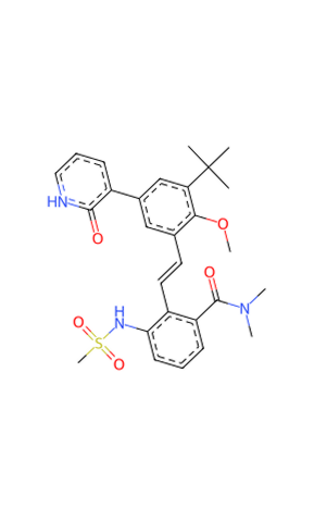 COc1c(C=Cc2c(NS(C)(=O)=O)cccc2C(=O)N(C)C)cc(-c2ccc[nH]c2=O)cc1C(C)(C)C